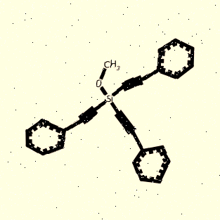 CO[Si](C#Cc1ccccc1)(C#Cc1ccccc1)C#Cc1ccccc1